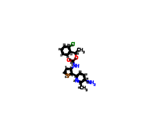 Cc1nc(-c2sccc2NC(=O)O[C@H](C)c2ccccc2Cl)ccc1N